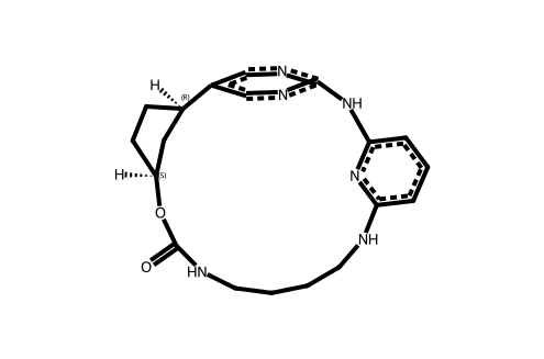 O=C1NCCCCNc2cccc(n2)Nc2ncc(cn2)[C@@H]2CC[C@@H](C2)O1